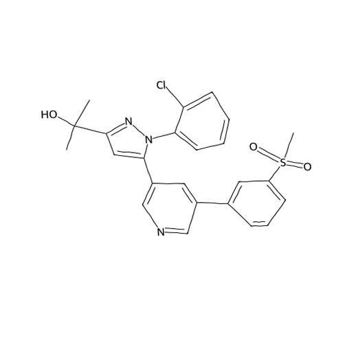 CC(C)(O)c1cc(-c2cncc(-c3cccc(S(C)(=O)=O)c3)c2)n(-c2ccccc2Cl)n1